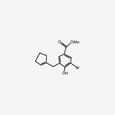 COC(=O)c1cc(Br)c(O)c(CC2=CCCC2)c1